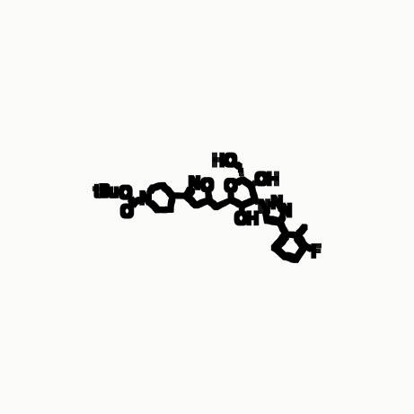 Cc1c(F)cccc1-c1cn([C@H]2[C@@H](O)[C@@H](CO)O[C@H](CC3CC(C4CCN(C(=O)OC(C)(C)C)CC4)=NO3)[C@@H]2O)nn1